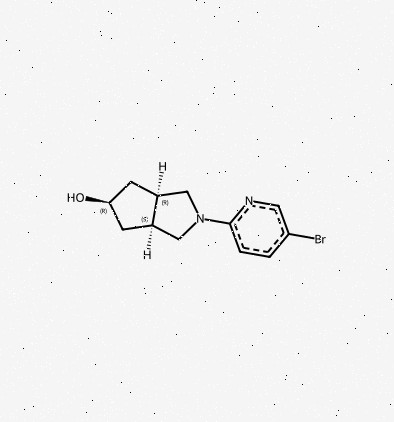 O[C@@H]1C[C@@H]2CN(c3ccc(Br)cn3)C[C@@H]2C1